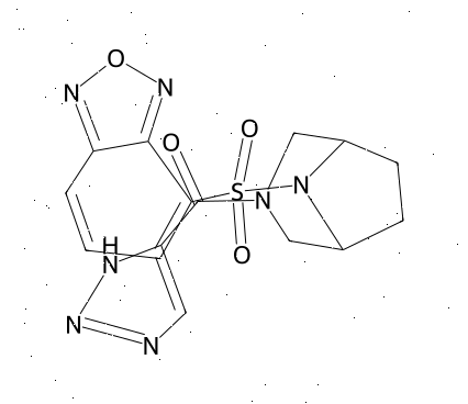 O=C(c1cnn[nH]1)N1CC2CCC(C1)N2S(=O)(=O)c1cccc2nonc12